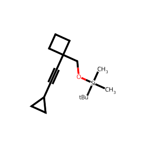 CC(C)(C)[Si](C)(C)OCC1(C#CC2CC2)CCC1